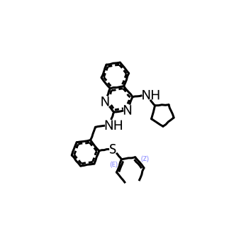 C/C=C\C(=C/C)Sc1ccccc1CNc1nc(NC2CCCC2)c2ccccc2n1